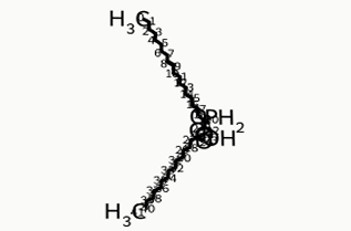 CCCCCCCCC=CCCCCCCCCOC(P)C(CO)OC(=O)CCCCCCCCCCCCCCC